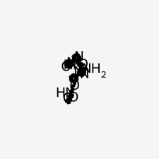 CC(C)(C)OC(=O)NCCOc1cccc(-c2cnc(N)c(C(=O)Nc3cnccc3N3CCOCC3)n2)c1